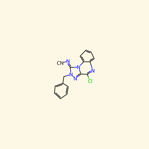 [C-]#[N+]N=c1n(Cc2ccccc2)nc2c(Cl)nc3ccccc3n12